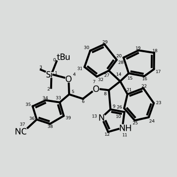 CC(C)(C)[Si](C)(C)OC(COC(c1c[nH]cn1)C(c1ccccc1)(c1ccccc1)c1ccccc1)c1ccc(C#N)cc1